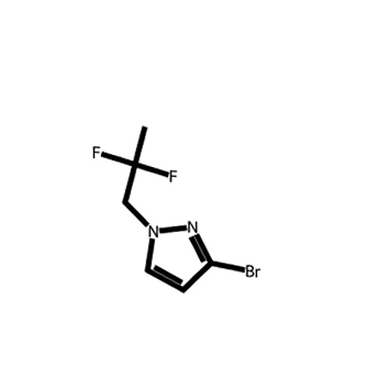 CC(F)(F)Cn1ccc(Br)n1